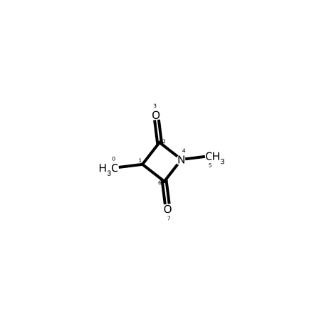 CC1C(=O)N(C)C1=O